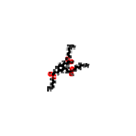 CC(C)CCCCOC(=O)CCC1CCC(CCC(=O)OCCCCC(C)C)C(CCC(=O)OCCCCC(C)C)C1